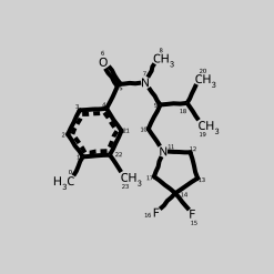 Cc1ccc(C(=O)N(C)C(CN2CCC(F)(F)C2)C(C)C)cc1C